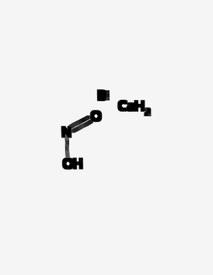 O=NO.[B].[CaH2]